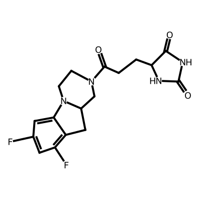 O=C1NC(=O)C(CCC(=O)N2CCN3c4cc(F)cc(F)c4CC3C2)N1